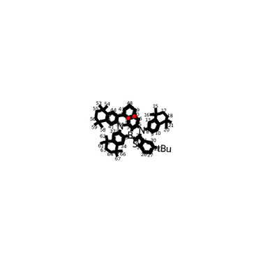 Cc1cc2c3c(c1)N(c1ccc4c(c1)C(C)(C)CCC4(C)C)c1c(sc4ccc(C(C)(C)C)cc14)B3c1cc3c(cc1N2c1cc2c(cc1-c1ccccc1)C(C)(C)CCC2(C)C)C(C)(C)CCC3(C)C